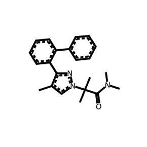 Cc1cn(C(C)(C)C(=O)N(C)C)nc1-c1ccccc1-c1ccccc1